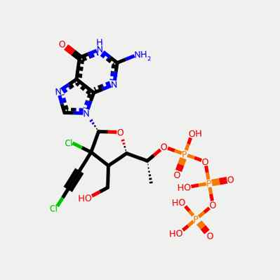 C[C@@H](OP(=O)(O)OP(=O)(O)OP(=O)(O)O)[C@H]1O[C@@H](n2cnc3c(=O)[nH]c(N)nc32)C(Cl)(C#CCl)C1CO